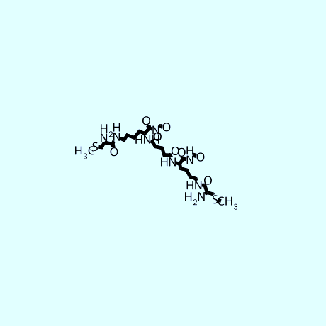 CSCC(N)C(=O)NCCCCC(NC(=O)CCCC(=O)NC(CCCCNC(=O)C(N)CSC)C(=O)NC=O)C(=O)NC=O